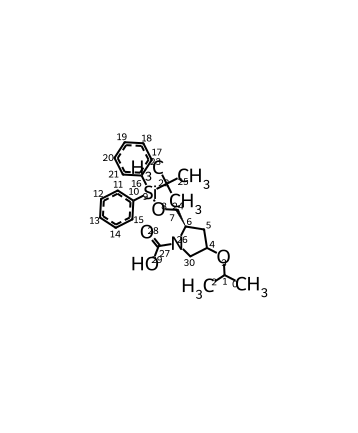 CC(C)OC1C[C@H](CO[Si](c2ccccc2)(c2ccccc2)C(C)(C)C)N(C(=O)O)C1